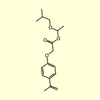 C=C(C)c1ccc(OCC(=O)OC(C)OCC(C)C)cc1